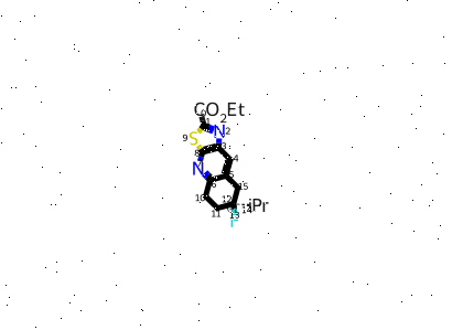 CCOC(=O)c1nc2cc3c(nc2s1)CC[C@@](F)(C(C)C)C3